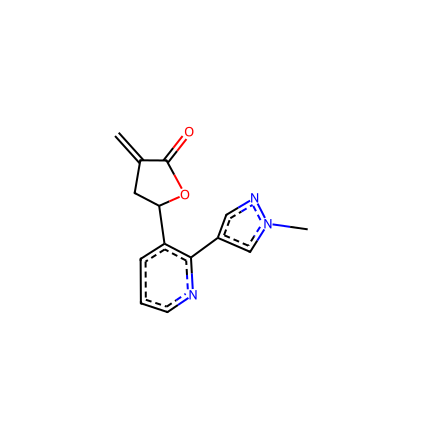 C=C1CC(c2cccnc2-c2cnn(C)c2)OC1=O